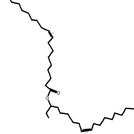 CCCCCCCC/C=C\CCCCCCCC(=O)OC(CC)CCCCC/C=C\CCCCCCCC